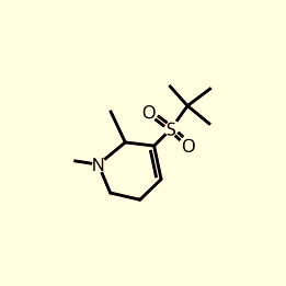 CC1C(S(=O)(=O)C(C)(C)C)=CCCN1C